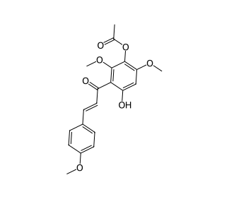 COc1ccc(/C=C/C(=O)c2c(O)cc(OC)c(OC(C)=O)c2OC)cc1